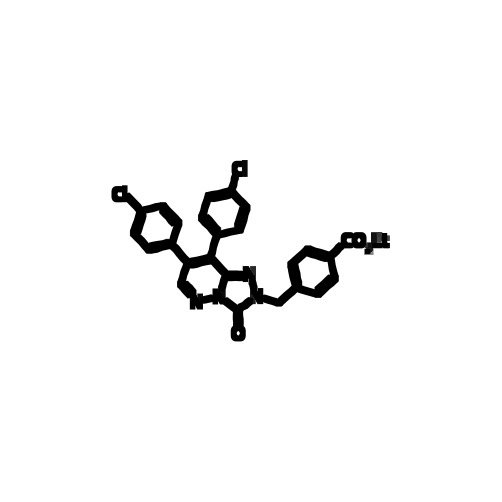 CCOC(=O)c1ccc(Cn2nc3c(-c4ccc(Cl)cc4)c(-c4ccc(Cl)cc4)cnn3c2=O)cc1